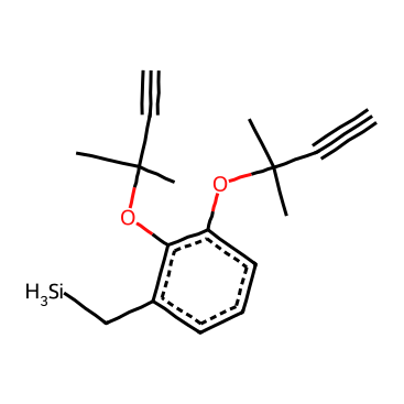 C#CC(C)(C)Oc1cccc(C[SiH3])c1OC(C)(C)C#C